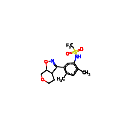 Cc1cc(C)c(C2=NOC3COCCC23)cc1NS(=O)(=O)C(F)(F)F